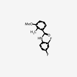 COc1cccc(C(=O)Nc2ccc(F)cc2F)c1C